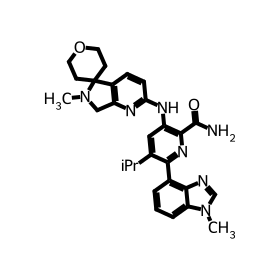 CC(C)c1cc(Nc2ccc3c(n2)CN(C)C32CCOCC2)c(C(N)=O)nc1-c1cccc2c1ncn2C